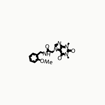 COc1ccccc1CNC(=O)Cn1cnc2c1c(=O)n(C)c(=O)n2C